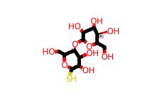 OCC1OC(O[C@@H]2C(CO)OC(S)C(O)C2O)C(O)C(O)[C@H]1O